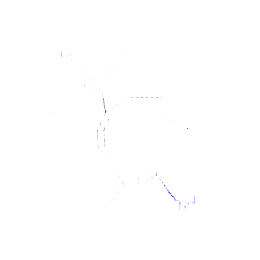 Cc1cc(S(=O)(=O)C(C)(C)C)ccc1N